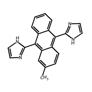 Cc1ccc2c(-c3ncc[nH]3)c3ccccc3c(-c3ncc[nH]3)c2c1